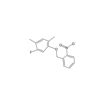 Cc1cc(C)c(OCc2ccccc2[N+](=O)[O-])cc1F